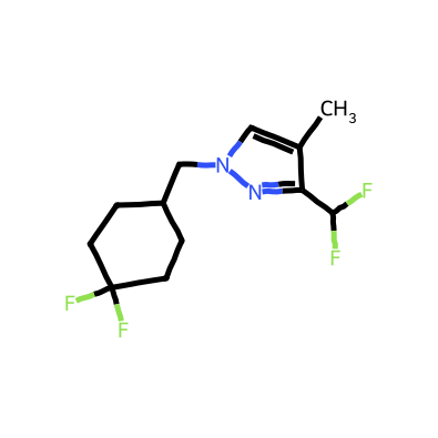 Cc1cn(CC2CCC(F)(F)CC2)nc1C(F)F